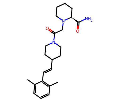 Cc1cccc(C)c1/C=C/C1CCN(C(=O)CN2CCCC[C@H]2C(N)=O)CC1